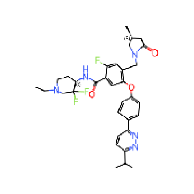 CCN1CC[C@@H](NC(=O)c2cc(Oc3ccc(-c4ccc(C(C)C)nn4)cc3)c(CN3C[C@@H](C)CC3=O)cc2F)C(F)(F)C1